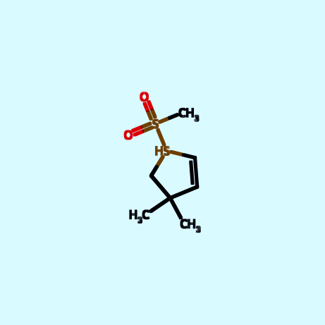 CC1(C)C=C[SH](S(C)(=O)=O)C1